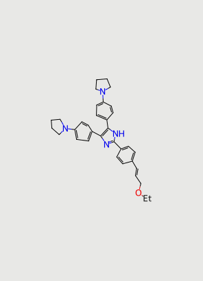 CCOCC=Cc1ccc(-c2nc(-c3ccc(N4CCCC4)cc3)c(-c3ccc(N4CCCC4)cc3)[nH]2)cc1